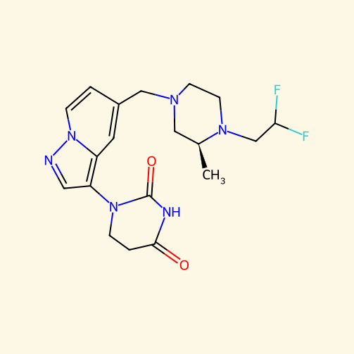 C[C@H]1CN(Cc2ccn3ncc(N4CCC(=O)NC4=O)c3c2)CCN1CC(F)F